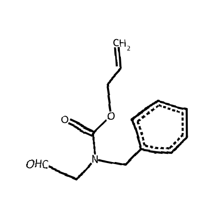 C=CCOC(=O)N(CC=O)Cc1ccccc1